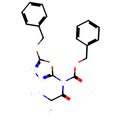 C[C@H](N)C(=O)N(C(=O)OCc1ccccc1)c1nnc(SCc2ccccc2)s1